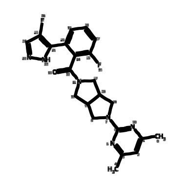 Cc1cc(C)nc(N2CC3CN(C(=O)c4c(F)cccc4-c4[nH]ncc4F)CC3C2)n1